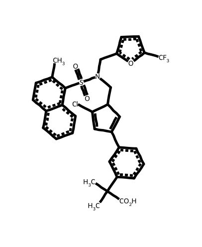 Cc1ccc2ccccc2c1S(=O)(=O)N(Cc1ccc(C(F)(F)F)o1)CC1C=C(c2cccc(C(C)(C)C(=O)O)c2)C=C1Cl